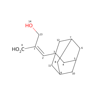 O=C(O)C(=CC12CC3CC(CC(C3)C1)C2)CO